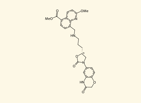 COC(=O)c1ccc(CNCCC[C@@H]2CN(c3ccc4c(c3)NC(=O)CO4)C(=O)O2)c2nc(OC)ccc12